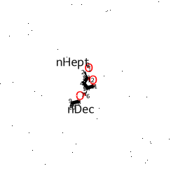 [CH2]CCCCCCOC[C@@H]1C[C@@H](COCCCCCCCCCCCC)CO1